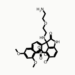 COc1ccc(S(=O)(=O)c2c(Cl)ccc3c2C(NCCOCCN)(c2ccccc2Cl)C(=O)N3)c(OC)c1